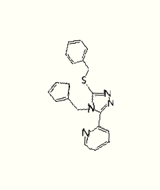 C1=CCC(Cn2c(SCc3ccccc3)nnc2-c2ccccn2)=C1